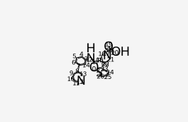 O=C(Nc1cccc(-c2cccnc2)c1)[C@H]1CN(C(=O)O)C[C@@H]1c1cccs1